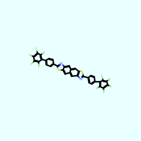 Fc1c(F)c(F)c(-c2ccc(-c3nc4cc5cc6sc(-c7ccc(-c8c(F)c(F)c(F)c(F)c8F)cc7)nc6cc5cc4s3)cc2)c(F)c1F